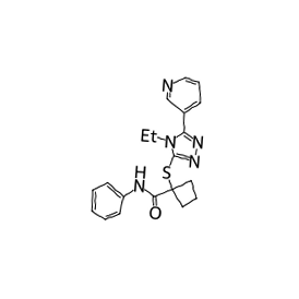 CCn1c(SC2(C(=O)Nc3ccccc3)CCC2)nnc1-c1cccnc1